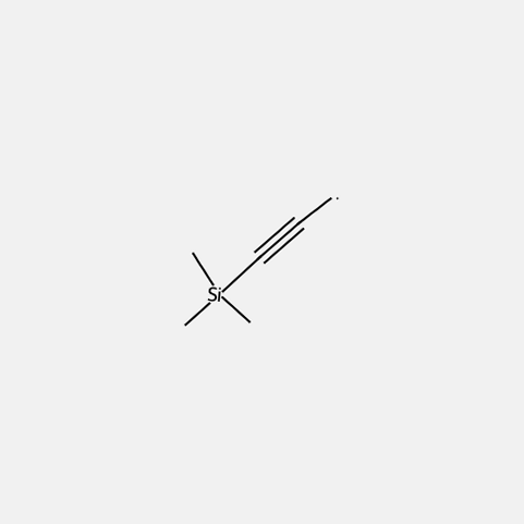 [CH2]C#C[Si](C)(C)C